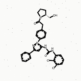 O=C(Nc1cccc(Cl)c1Cl)Nc1cc(-c2ccccc2)nn1-c1ccc(CC(=O)N2CCC[C@@H]2CO)cc1